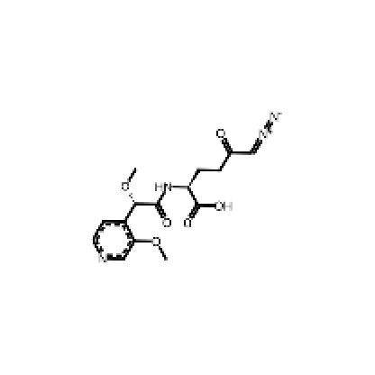 COc1cnccc1[C@H](OC)C(=O)N[C@@H](CCC(=O)C=[N+]=[N-])C(=O)O